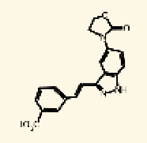 O=C(O)c1cccc(C=Cc2n[nH]c3ccc(N4CCOC4=O)cc23)c1